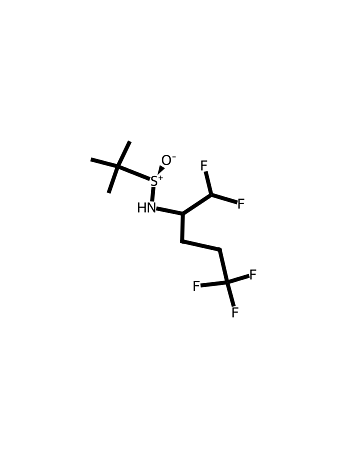 CC(C)(C)[S@@+]([O-])NC(CCC(F)(F)F)C(F)F